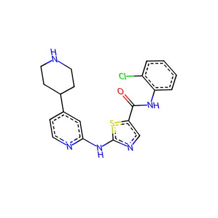 O=C(Nc1ccccc1Cl)c1cnc(Nc2cc(C3CCNCC3)ccn2)s1